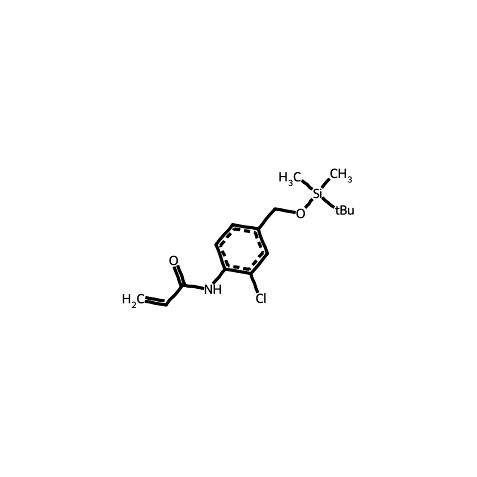 C=CC(=O)Nc1ccc(CO[Si](C)(C)C(C)(C)C)cc1Cl